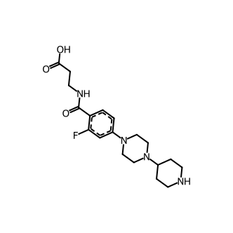 O=C(O)CCNC(=O)c1ccc(N2CCN(C3CCNCC3)CC2)cc1F